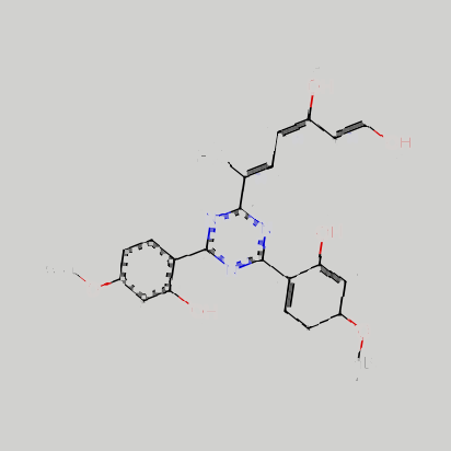 CCCCOc1ccc(-c2nc(C3=CCC(OCCCC)C=C3O)nc(/C(C)=C/C=C(O)\C=C\O)n2)c(O)c1